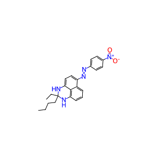 CCCCC1(CC)Nc2cccc3c(N=Nc4ccc([N+](=O)[O-])cc4)ccc(c23)N1